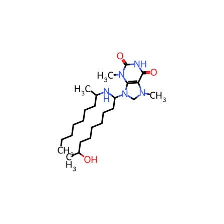 CCCCCCCC(C)NC(CCCCCCC(C)O)N1CN(C)c2c1n(C)c(=O)[nH]c2=O